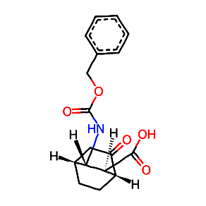 O=C(N[C@H]1[C@@H]2CC[C@@H](C(=O)C2)[C@@H]1C(=O)O)OCc1ccccc1